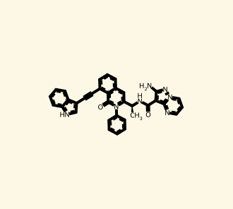 C[C@H](NC(=O)c1c(N)nn2cccnc12)c1cc2cccc(C#Cc3c[nH]c4ccccc34)c2c(=O)n1-c1ccccc1